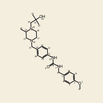 COc1ccc(CNC(=O)Nc2ccc(CN3CCN(CC(C)(C)O)C(C)C3)cc2)cc1